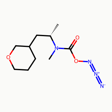 C[C@@H](CC1CCCOC1)N(C)C(=O)ON=[N+]=[N-]